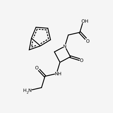 NCC(=O)NC1CN(CC(=O)O)C1=O.c1cc2cc-2c1